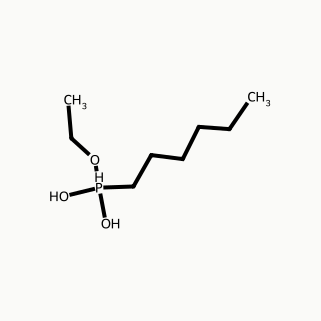 CCCCCC[PH](O)(O)OCC